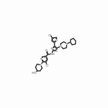 O=C(Nc1nc(-c2cc(Cl)cs2)c(N2CCN(C3CCCCC3)CC2)s1)c1cnc(N2CCC(O)CC2)c(Cl)c1